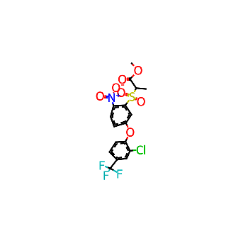 COC(=O)C(C)S(=O)(=O)c1cc(Oc2ccc(C(F)(F)F)cc2Cl)ccc1[N+](=O)[O-]